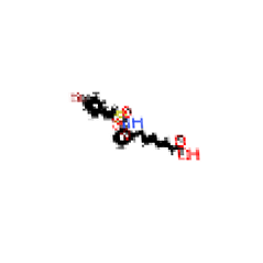 O=C(O)CCCC=CCC1C2CCC(O2)C1NS(=O)(=O)C=Cc1ccc(Br)cc1